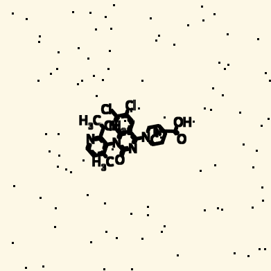 Cc1ccnc(C(C)C)c1-n1c(=O)nc(N2CC3CCC2CN3C(=O)O)c2cc(Cl)c(Cl)nc21